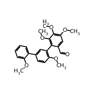 COc1ccccc1-c1ccc(OC)c(-c2c(C=O)cc(OC)c(OC)c2OC)c1